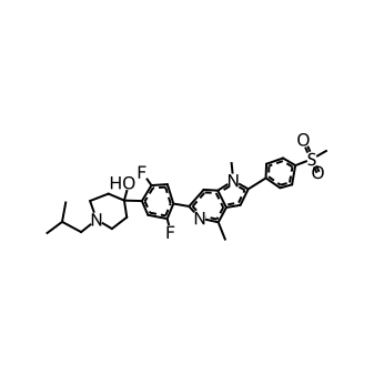 Cc1nc(-c2cc(F)c(C3(O)CCN(CC(C)C)CC3)cc2F)cc2c1cc(-c1ccc(S(C)(=O)=O)cc1)n2C